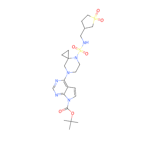 CC(C)(C)OC(=O)n1ccc2c(N3CCN(S(=O)(=O)NCC4CCS(=O)(=O)C4)C4(CC4)C3)ncnc21